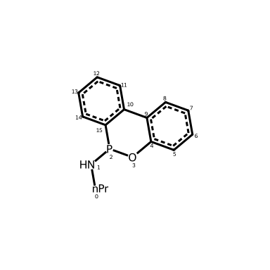 CCCNP1Oc2ccccc2-c2ccccc21